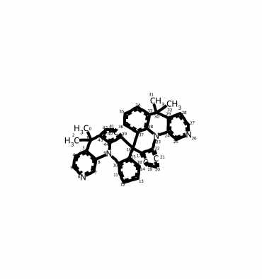 CC1(C)c2ccncc2N2c3ccccc3C3(c4ccccc4N4c5cnccc5C(C)(C)c5cccc3c54)c3cccc1c32